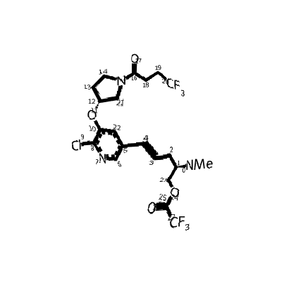 CN[C@H](C/C=C/c1cnc(Cl)c(O[C@@H]2CCN(C(=O)CCC(F)(F)F)C2)c1)COC(=O)C(F)(F)F